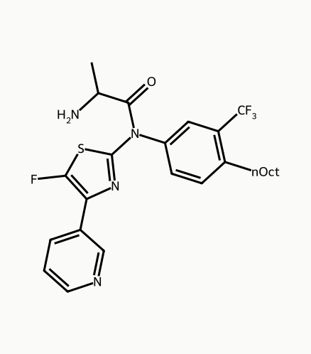 CCCCCCCCc1ccc(N(C(=O)C(C)N)c2nc(-c3cccnc3)c(F)s2)cc1C(F)(F)F